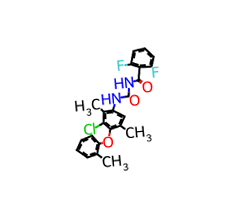 Cc1ccccc1Oc1c(C)cc(NC(=O)NC(=O)c2c(F)cccc2F)c(C)c1Cl